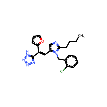 CCCCc1ncc(C=C(c2nnn[nH]2)c2ccco2)n1Cc1ccccc1Cl